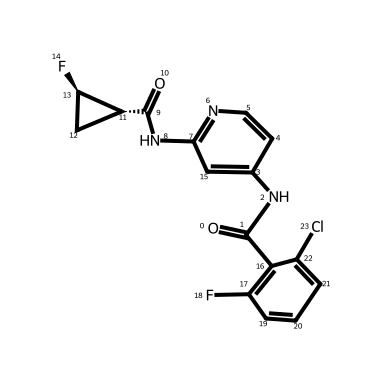 O=C(Nc1ccnc(NC(=O)[C@@H]2C[C@H]2F)c1)c1c(F)cccc1Cl